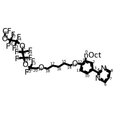 CCCCCCCCc1cc(-c2ncccn2)ccc1OCCCCCOCC(F)(F)OC(F)(F)C(F)(F)OC(F)(F)C(F)(F)OC(F)(F)F